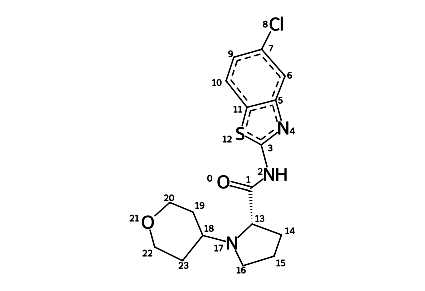 O=C(Nc1nc2cc(Cl)ccc2s1)[C@@H]1CCCN1C1CCOCC1